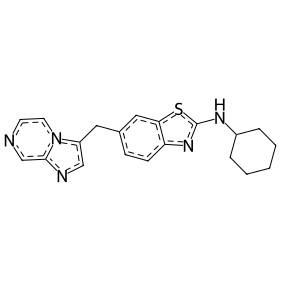 c1cn2c(Cc3ccc4nc(NC5CCCCC5)sc4c3)cnc2cn1